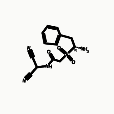 N#CC(C#N)NC(=O)CS(=O)(=O)[C@@H](N)Cc1ccccc1